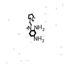 CN(CC[N+]1(C)CCCC1)c1ccc(N)cc1N